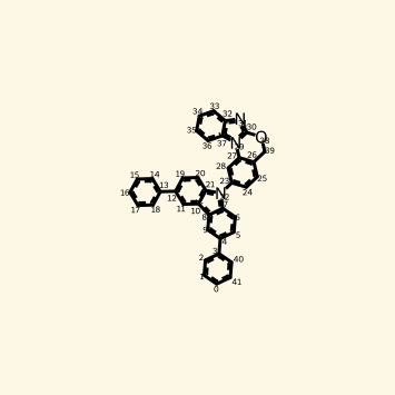 c1ccc(-c2ccc3c(c2)c2cc(-c4ccccc4)ccc2n3-c2ccc3c(c2)-n2c(nc4ccccc42)OC3)cc1